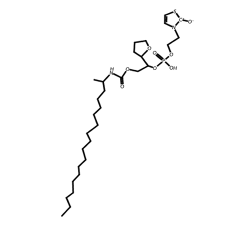 CCCCCCCCCCCCCCCCC(C)NC(=O)OCC(OP(=O)(O)OCCn1ccs[c+]1[O-])C1CCCO1